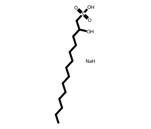 CCCCCCCCCCCCC(O)CS(=O)(=O)O.[NaH]